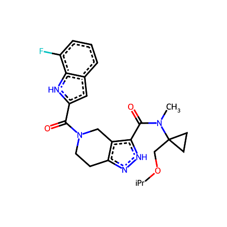 CC(C)OCC1(N(C)C(=O)c2[nH]nc3c2CN(C(=O)c2cc4cccc(F)c4[nH]2)CC3)CC1